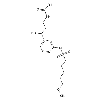 COCCCCCS(=O)(=O)Nc1cccc(C(O)CCNC(=O)O)c1